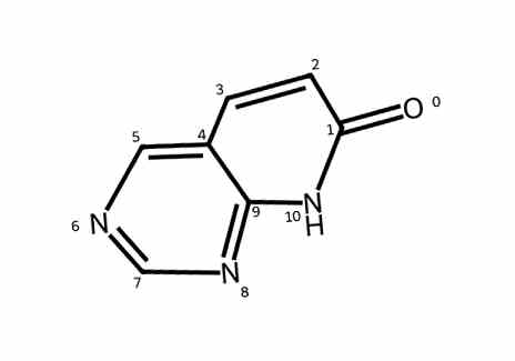 O=c1ccc2cncnc2[nH]1